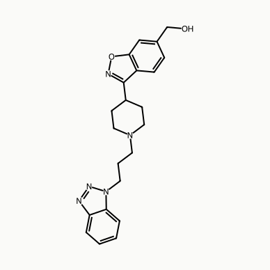 OCc1ccc2c(C3CCN(CCCn4nnc5ccccc54)CC3)noc2c1